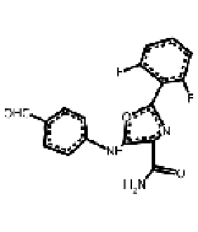 NC(=O)c1nc(-c2c(F)cccc2F)oc1Nc1ccc(C=O)cc1